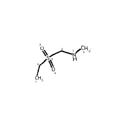 [CH2]NCS(=O)(=O)CC